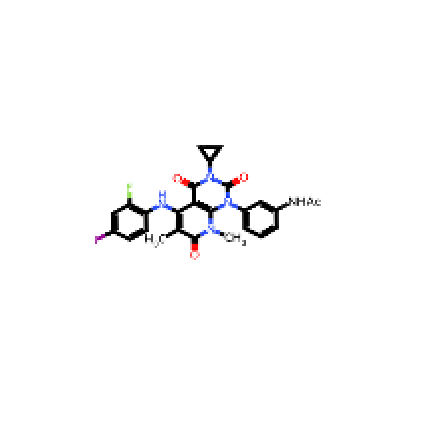 CC(=O)Nc1cccc(-n2c(=O)n(C3CC3)c(=O)c3c(Nc4ccc(I)cc4F)c(C)c(=O)n(C)c32)c1